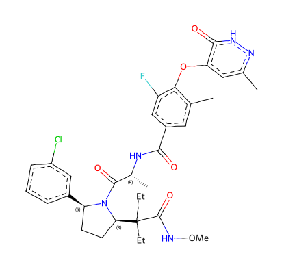 CCC(CC)(C(=O)NOC)[C@H]1CC[C@@H](c2cccc(Cl)c2)N1C(=O)[C@@H](C)NC(=O)c1cc(C)c(Oc2cc(C)n[nH]c2=O)c(F)c1